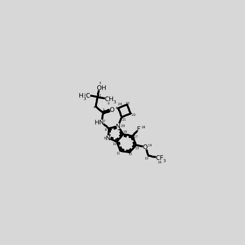 CC(C)(O)CC(=O)Nc1nc2ccc(OCC(F)(F)F)c(F)c2n1C1CCC1